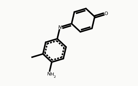 Cc1cc(N=C2C=CC(=O)C=C2)ccc1N